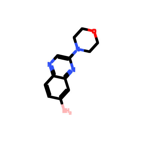 Bc1ccc2ncc(N3CCOCC3)nc2c1